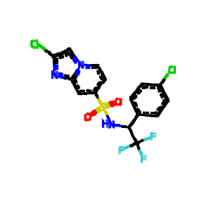 O=S(=O)(NC(c1ccc(Cl)cc1)C(F)(F)F)c1ccn2cc(Cl)nc2c1